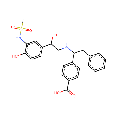 CS(=O)(=O)Nc1cc(C(O)CNC(Cc2ccccc2)c2ccc(C(=O)O)cc2)ccc1O